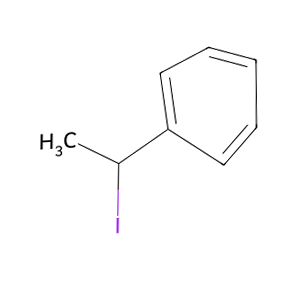 CC(I)c1ccccc1